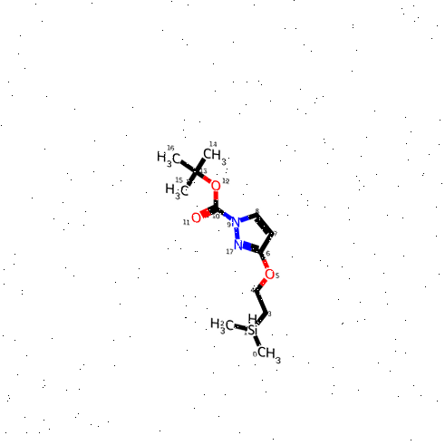 C[SiH](C)CCOc1ccn(C(=O)OC(C)(C)C)n1